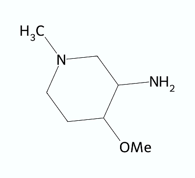 COC1CCN(C)CC1N